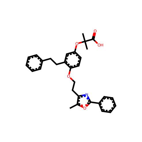 Cc1oc(-c2ccccc2)nc1CCOc1ccc(OC(C)(C)C(=O)O)cc1CCc1ccccc1